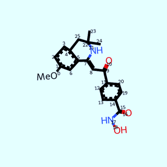 COc1ccc2c(c1)C(=CC(=O)c1ccc(C(=O)NO)cc1)NC(C)(C)C2